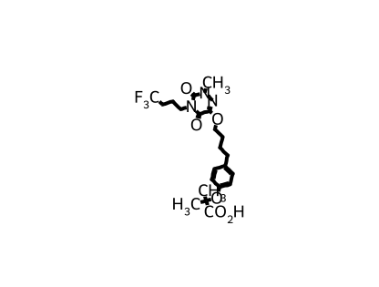 Cn1nc(OCCCCc2ccc(OC(C)(C)C(=O)O)cc2)c(=O)n(CCCC(F)(F)F)c1=O